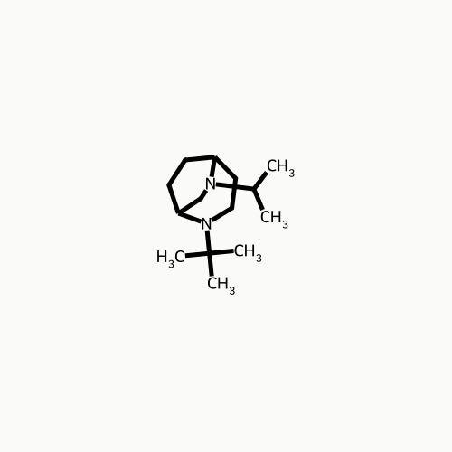 CC(C)N1CC2CCC1CCN2C(C)(C)C